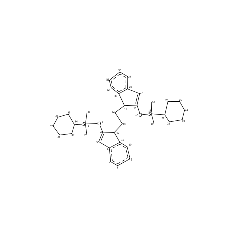 C[Si](C)(OC1=Cc2ccccc2C1CCC1C(O[Si](C)(C)C2CCCCC2)=Cc2ccccc21)C1CCCCC1